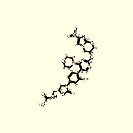 CC(=O)NC[C@H]1CN(c2ccc(-c3cnc(O[C@@H]4COc5nc([N+](=O)[O-])cn5C4)nc3N3CCOCC3)c(F)c2)C(=O)O1